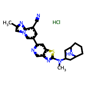 Cc1cn2cc(-c3cc4sc(N(C)C5CC6CCCC(C5)N6)nc4cn3)cc(C#N)c2n1.Cl